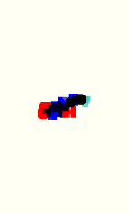 O=C(O)c1cnn(-c2nc(O)c3c(cnn3CC3CCN(Cc4ccc(F)cc4)CC3)n2)c1